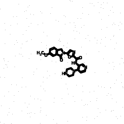 COc1ccc2c(c1)C(=O)N(c1cnc(C(=O)Nc3cnccc3N3CCNCC3)o1)C2